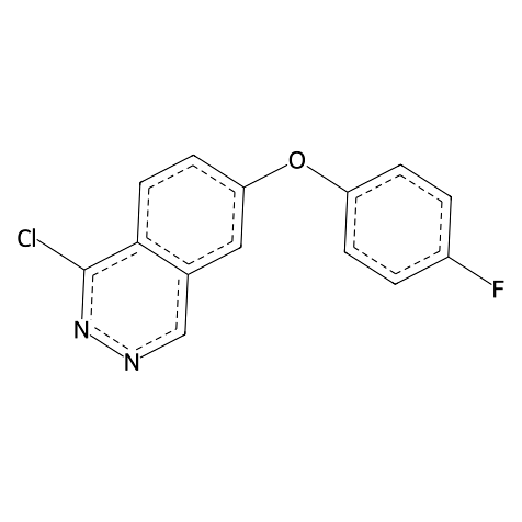 Fc1ccc(Oc2ccc3c(Cl)nncc3c2)cc1